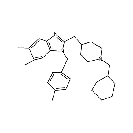 Cc1ccc(Cn2c(CC3CCN(CC4CCCCC4)CC3)nc3cc(C)c(C)cc32)cc1